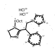 CCCCCCCCN1CCN=C1C(Cn1ccnc1)c1ccccc1.Cl.Cl